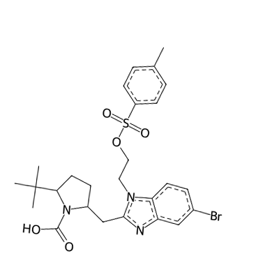 Cc1ccc(S(=O)(=O)OCCn2c(CC3CCC(C(C)(C)C)N3C(=O)O)nc3cc(Br)ccc32)cc1